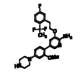 COc1cc(N2CCNCC2)ccc1-c1cnc(N)c(OCCc2cc(F)ccc2C(C)(F)F)c1